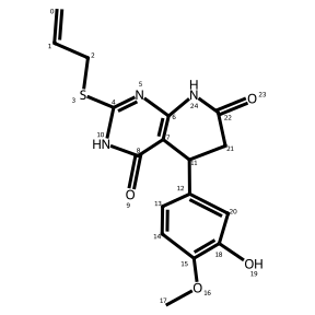 C=CCSc1nc2c(c(=O)[nH]1)C(c1ccc(OC)c(O)c1)CC(=O)N2